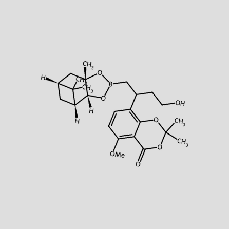 COc1ccc(C(CCO)CB2O[C@@H]3[C@@H]4C[C@H](C[C@]3(C)O2)C4(C)C)c2c1C(=O)OC(C)(C)O2